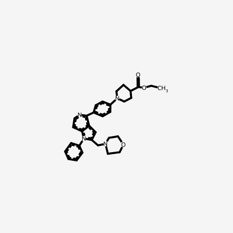 CCOC(=O)C1CCN(c2ccc(-c3nccc4c3cc(CN3CCOCC3)n4-c3ccccc3)cc2)CC1